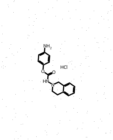 Cl.Nc1ccc(OC(=O)NN2CCc3ccccc3C2)cc1